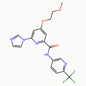 COCCOc1cc(C(=O)Nc2ccc(C(F)(F)F)nc2)nc(-n2ccnc2)c1